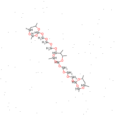 CC1C[SiH](C)O[SiH](C)O[SiH](O[SiH2]O[SiH2]O[SiH2]O[SiH]2OC(C)C(C)[SiH](O[SiH2]O[SiH2]O[SiH2]O[SiH]3OC(C)C[SiH](C)O[SiH](C)O3)O[SiH](C)O2)O1